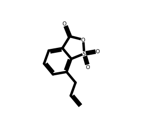 C=CCc1cccc2c1S(=O)(=O)OC2=O